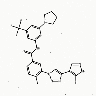 Cc1ccc(C(=O)Nc2cc(N3CCCC3)cc(C(F)(F)F)c2)cc1-n1cc(-c2cn[nH]c2C)nn1